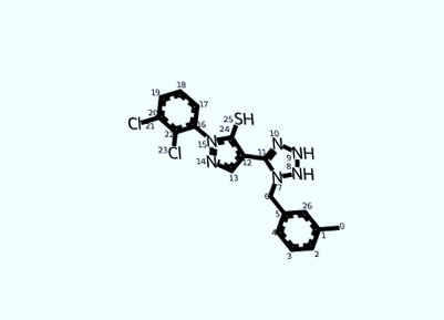 Cc1cccc(CN2NNN=C2c2cnn(-c3cccc(Cl)c3Cl)c2S)c1